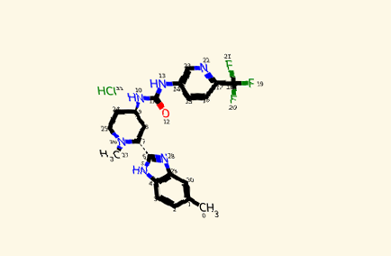 Cc1ccc2[nH]c([C@H]3C[C@H](NC(=O)Nc4ccc(C(F)(F)F)nc4)CCN3C)nc2c1.Cl